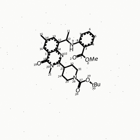 COC(=O)c1ccccc1NC(C)c1cc(C)cc2c(=O)n(C)c(C3CCN(C(=O)OC(C)(C)C)CC3)nc12